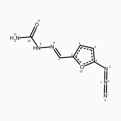 [N-]=[N+]=Nc1ccc(/C=N/NC(N)=O)o1